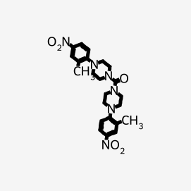 Cc1cc([N+](=O)[O-])ccc1N1CCN(C(=O)N2CCN(c3ccc([N+](=O)[O-])cc3C)CC2)CC1